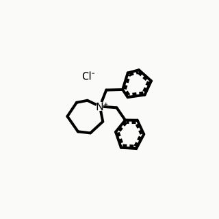 [Cl-].c1ccc(C[N+]2(Cc3ccccc3)CCCCCC2)cc1